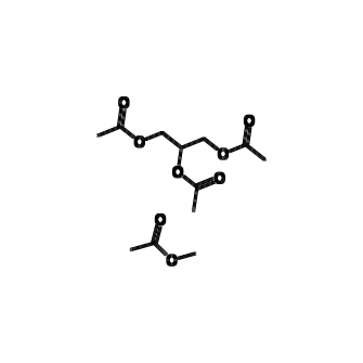 CC(=O)OCC(COC(C)=O)OC(C)=O.COC(C)=O